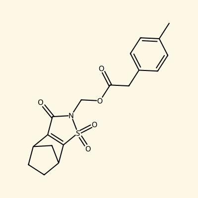 Cc1ccc(CC(=O)OCN2C(=O)C3=C(C4CCC3C4)S2(=O)=O)cc1